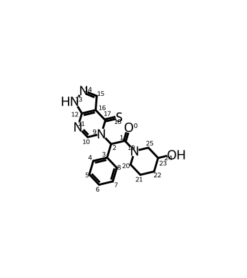 O=C(C(c1ccccc1)n1cnc2[nH]ncc2c1=S)N1CCCC(O)C1